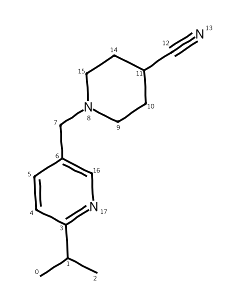 CC(C)c1ccc(CN2CCC(C#N)CC2)cn1